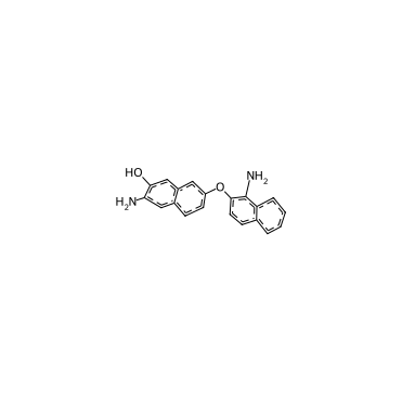 Nc1cc2ccc(Oc3ccc4ccccc4c3N)cc2cc1O